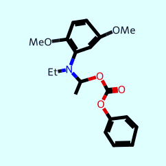 CCN(c1cc(OC)ccc1OC)C(C)OC(=O)Oc1ccccc1